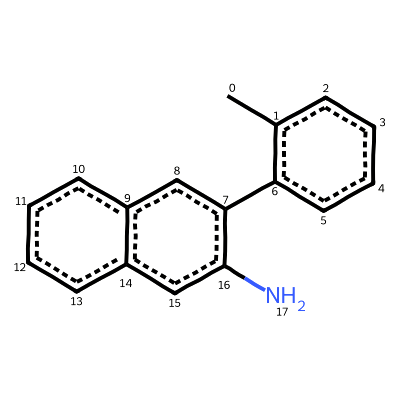 Cc1ccccc1-c1cc2ccccc2cc1N